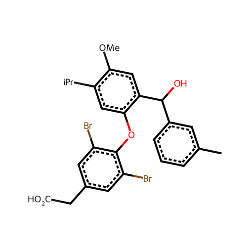 COc1cc(C(O)c2cccc(C)c2)c(Oc2c(Br)cc(CC(=O)O)cc2Br)cc1C(C)C